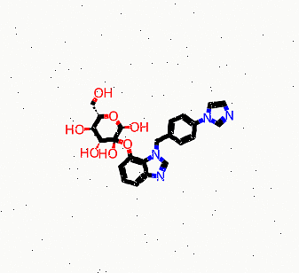 OC[C@@H]1O[C@@H](O)[C@](O)(Oc2cccc3ncn(Cc4ccc(-n5ccnc5)cc4)c23)[C@H](O)[C@H]1O